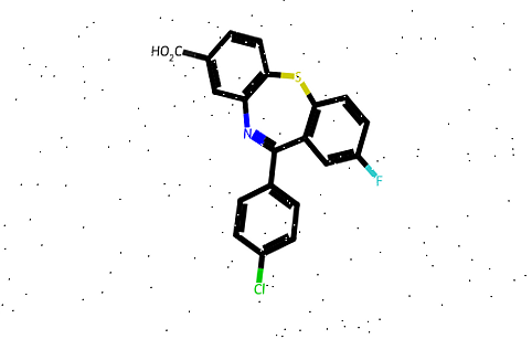 O=C(O)c1ccc2c(c1)N=C(c1ccc(Cl)cc1)c1cc(F)ccc1S2